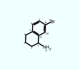 NC1CCCc2ccc(Br)cc21